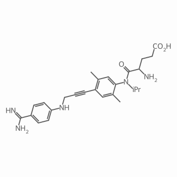 Cc1cc(N(C(=O)C(N)CCC(=O)O)C(C)C)c(C)cc1C#CCNc1ccc(C(=N)N)cc1